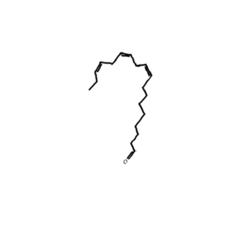 CC/C=C\C/C=C\C/C=C\CCCCCCC[C]=O